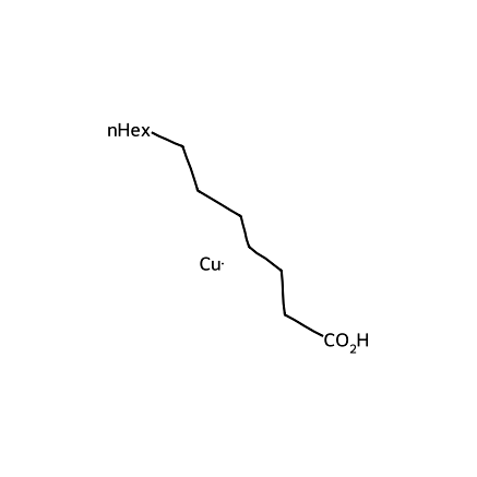 CCCCCCCCCCCCC(=O)O.[Cu]